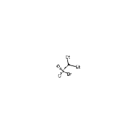 CCC(CC)S(=O)(=O)Br